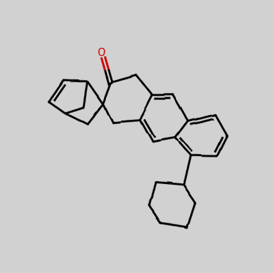 O=C1Cc2cc3cccc(C4CCCCC4)c3cc2CC12CC1C=CC2C1